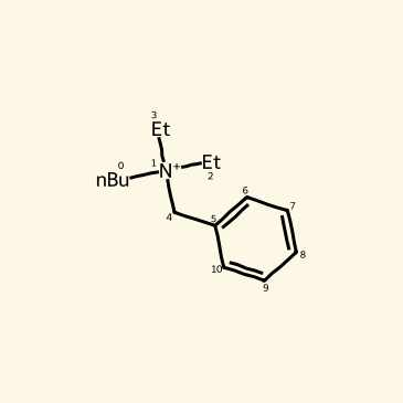 CCCC[N+](CC)(CC)Cc1ccccc1